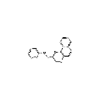 c1ccc(OCC2COc3ccc4ccccc4c3O2)cc1